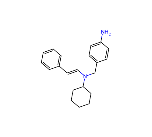 Nc1ccc(CN(C=Cc2ccccc2)C2CCCCC2)cc1